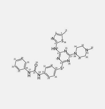 Cc1cnc(Nc2nc(Sc3ccc(NC(=O)Nc4ccccc4)cc3)nc(N3CCN(C)CC3)n2)s1